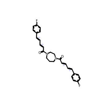 O=C(/C=C/C=C/c1ccc(F)cc1)N1CCCN(C(=O)/C=C/C=C/c2ccc(F)cc2)CC1